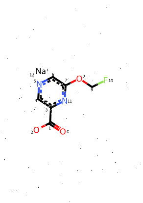 O=C([O-])c1cncc(OCF)n1.[Na+]